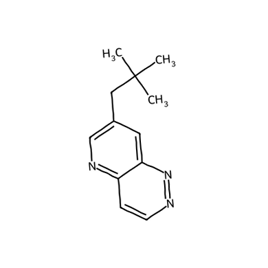 CC(C)(C)Cc1cnc2ccnnc2c1